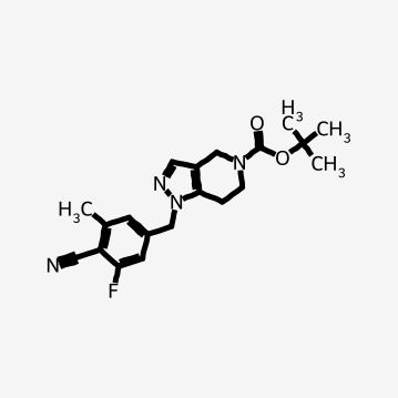 Cc1cc(Cn2ncc3c2CCN(C(=O)OC(C)(C)C)C3)cc(F)c1C#N